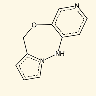 c1cc2n(c1)Nc1ccncc1OC2